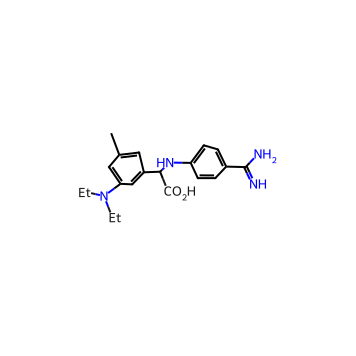 CCN(CC)c1cc(C)cc(C(Nc2ccc(C(=N)N)cc2)C(=O)O)c1